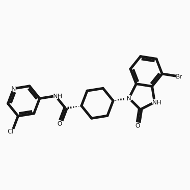 O=c1[nH]c2c(Br)cccc2n1[C@H]1CC[C@@H](C(=O)Nc2cncc(Cl)c2)CC1